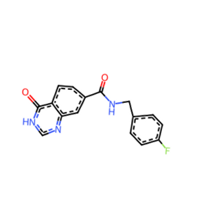 O=C(NCc1ccc(F)cc1)c1ccc2c(=O)[nH]cnc2c1